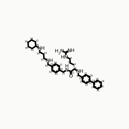 N=C(N)NCCC[C@H](NCc1ccc(-c2ccccc2)cc1)C(=O)NCc1ccc(CNCCCNC2CCCCC2)cc1